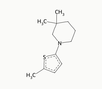 Cc1ccc(N2CCCC(C)(C)C2)s1